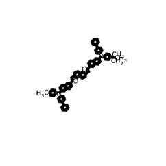 Cc1ccc(N(c2ccc(-c3ccccc3)cc2)c2ccc3cc(-c4cc5ccc6c(ccc7cc(-c8ccc9cc(N(c%10ccc(-c%11ccccc%11)cc%10)c%10ccc(C(C)(C)C)cc%10)ccc9c8)oc76)c5o4)ccc3c2)cc1